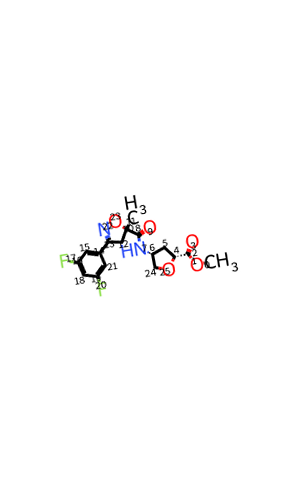 COC(=O)[C@H]1C[C@@H](NC(=O)C2(C)CC(c3cc(F)cc(F)c3)=NO2)CO1